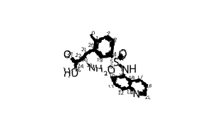 Cc1ccc(S(=O)(=O)Nc2cccc3ncccc23)cc1C[C@H](N)C(=O)O